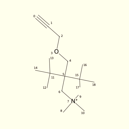 C#CCOCC(C[N+](C)(C)C)(C(C)(C)C)C(C)(C)C